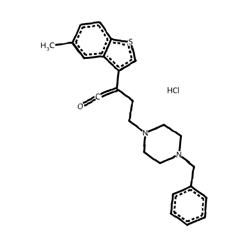 Cc1ccc2scc(C(=C=O)CCN3CCN(Cc4ccccc4)CC3)c2c1.Cl